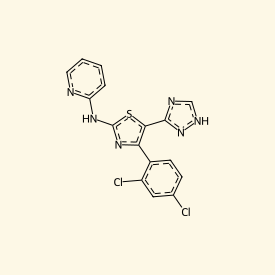 Clc1ccc(-c2nc(Nc3ccccn3)sc2-c2nc[nH]n2)c(Cl)c1